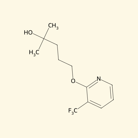 CC(C)(O)CCCOc1ncccc1C(F)(F)F